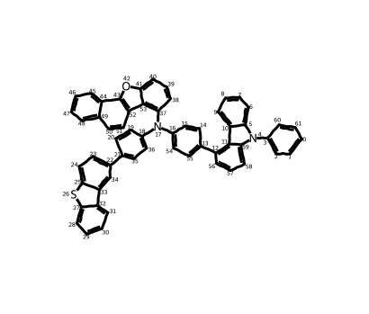 c1ccc(-n2c3ccccc3c3c(-c4ccc(N(c5ccc(-c6ccc7sc8ccccc8c7c6)cc5)c5cccc6oc7c8ccccc8ccc7c56)cc4)cccc32)cc1